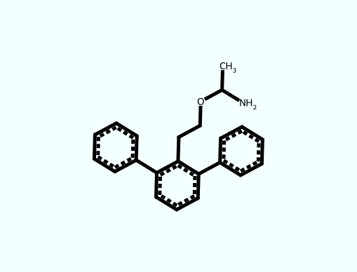 CC(N)OCCc1c(-c2ccccc2)cccc1-c1ccccc1